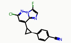 N#Cc1ccc([C@H]2CC2c2cc(Cl)nn3c(F)cnc23)cc1